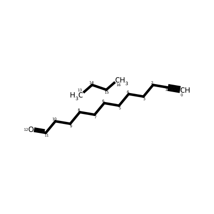 C#CCCCCCCCCCC=O.CCCC